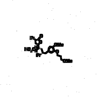 COCCCOc1cc(C[C@@H](C[C@H](NC(=O)O)[C@H]2C[C@@H](C(C)C)C(=O)O2)C(C)C)ccc1OC